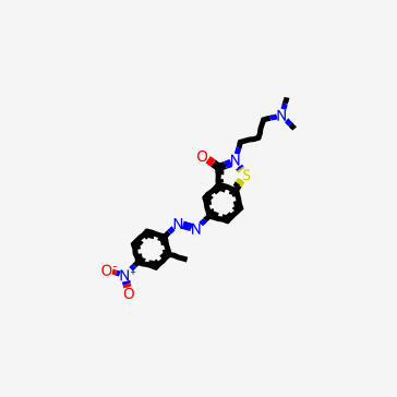 Cc1cc([N+](=O)[O-])ccc1N=Nc1ccc2sn(CCCN(C)C)c(=O)c2c1